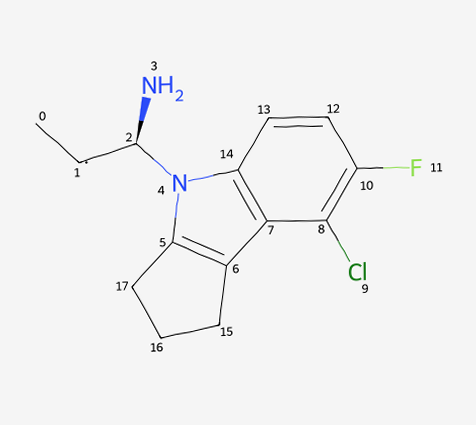 C[CH][C@@H](N)n1c2c(c3c(Cl)c(F)ccc31)CCC2